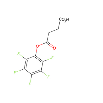 O=C(O)CCC(=O)Oc1c(F)c(F)c(F)c(F)c1F